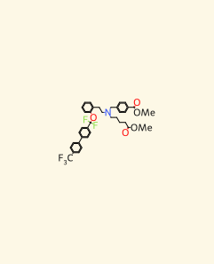 COC(=O)CCCCN(CCc1ccccc1OC(F)(F)c1ccc(-c2ccc(C(F)(F)F)cc2)cc1)Cc1ccc(C(=O)OC)cc1